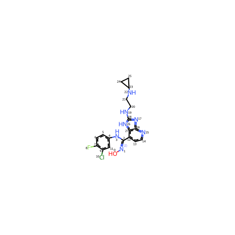 O/N=C(\Nc1ccc(F)c(Cl)c1)c1ccnc2nc(NCCNC3CC3)[nH]c12